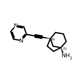 N[C@@]12CCC[C@@](C#Cc3cnccn3)(CC1)C2